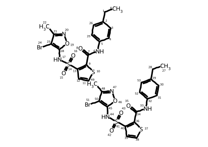 CCc1ccc(NC(=O)c2sccc2S(=O)(=O)Nc2onc(C)c2Br)cc1.CCc1ccc(NC(=O)c2sccc2S(=O)(=O)Nc2onc(C)c2Br)cc1